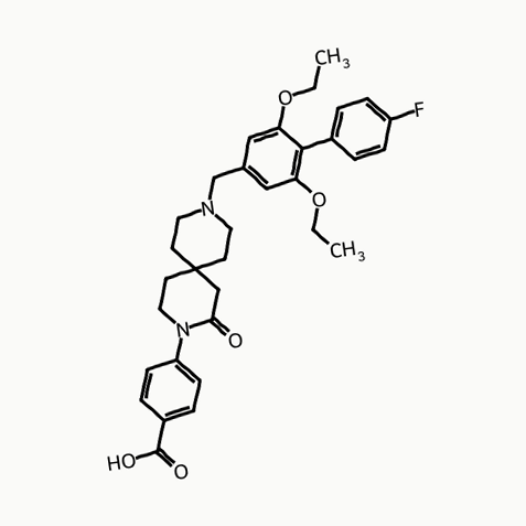 CCOc1cc(CN2CCC3(CC2)CCN(c2ccc(C(=O)O)cc2)C(=O)C3)cc(OCC)c1-c1ccc(F)cc1